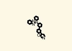 c1cc(-c2ccc3oc4cnccc4c3c2)cc(-n2c3ccccc3n3c4ccccc4nc23)c1